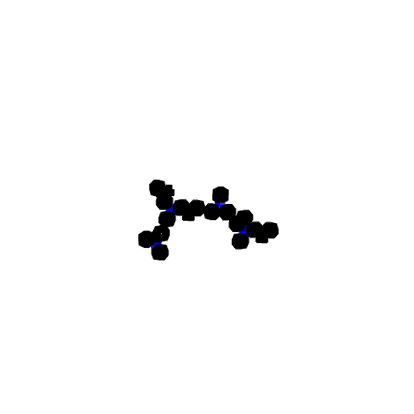 CC1(C)c2ccccc2-c2ccc(N(c3ccc(C4CCc5c(c6ccccc6n5-c5ccccc5)C4)cc3)c3ccc4c(c3)C(C)(C)c3cc(-c5ccc6c7cc(-c8ccc(N(c9ccccc9)c9ccc%10c(c9)C(C)(C)c9ccccc9-%10)c9ccccc89)ccc7n(-c7ccccc7)c6c5)ccc3-4)cc21